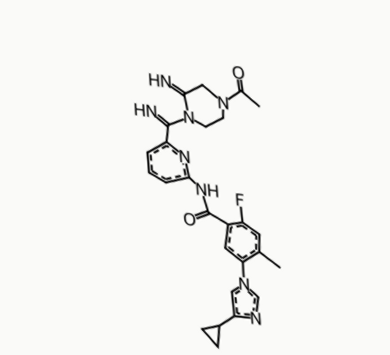 CC(=O)N1CCN(C(=N)c2cccc(NC(=O)c3cc(-n4cnc(C5CC5)c4)c(C)cc3F)n2)C(=N)C1